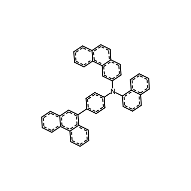 c1ccc2c(N(c3ccc(-c4cc5ccccc5c5ccccc45)cc3)c3ccc4ccc5ccccc5c4c3)cccc2c1